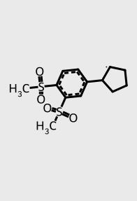 CS(=O)(=O)c1ccc(C2[CH]CCC2)cc1S(C)(=O)=O